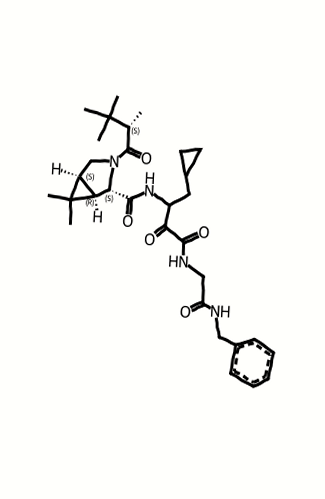 C[C@H](C(=O)N1C[C@H]2[C@@H]([C@H]1C(=O)NC(CC1CC1)C(=O)C(=O)NCC(=O)NCc1ccccc1)C2(C)C)C(C)(C)C